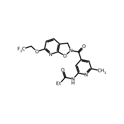 CCC(=O)Nc1cc(C(=O)N2Cc3ccc(OCC(F)(F)F)nc3O2)cc(C)n1